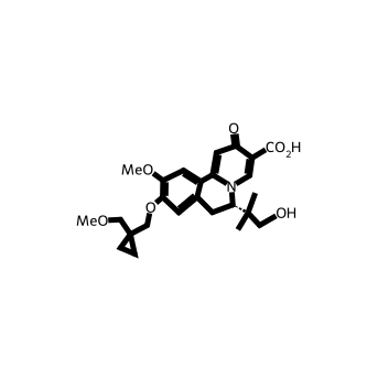 COCC1(COc2cc3c(cc2OC)-c2cc(=O)c(C(=O)O)cn2[C@H](C(C)(C)CO)C3)CC1